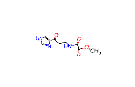 COC(=O)C(=O)NCCC(=O)c1c[nH]cn1